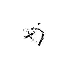 CCCCCN=[N+]=[N-].CS(C)(=O)=O.Cl